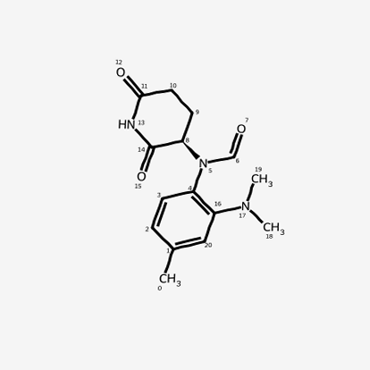 Cc1ccc(N(C=O)[C@@H]2CCC(=O)NC2=O)c(N(C)C)c1